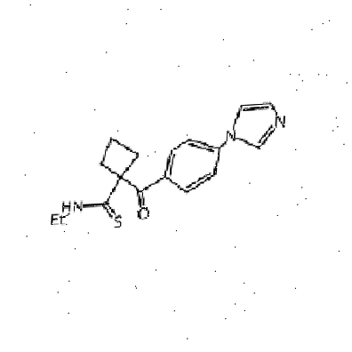 CCNC(=S)C1(C(=O)c2ccc(-n3ccnc3)cc2)CCC1